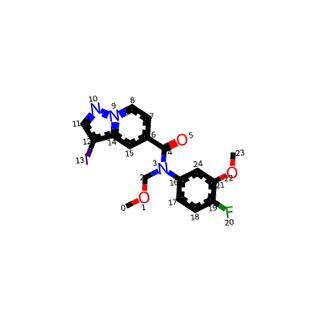 COCN(C(=O)c1ccn2ncc(I)c2c1)c1ccc(F)c(OC)c1